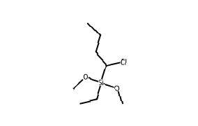 CCCC(Cl)[Si](CC)(OC)OC